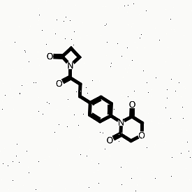 O=C(CCc1ccc(N2C(=O)COCC2=O)cc1)N1CCC1=O